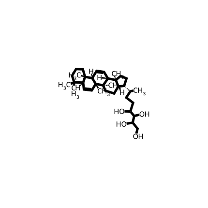 CC(CCC(O)C(O)C(O)CO)[C@H]1CC[C@]2(C)[C@H]3C=C[C@@H]4[C@@]5(C)CCCC(C)(C)[C@@H]5C=C[C@@]4(C)[C@]3(C)CC[C@@H]12